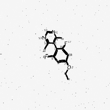 CCOc1cc(F)c(-c2c(C)ncnc2C)c(F)c1